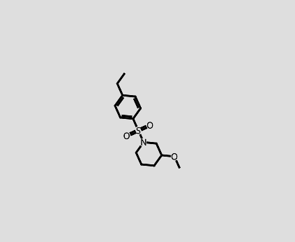 CCc1ccc(S(=O)(=O)N2CCCC(OC)C2)cc1